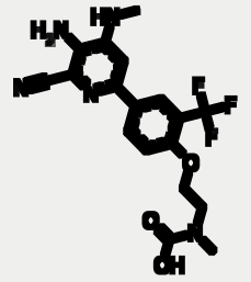 CNc1cc(-c2ccc(OCCN(C)C(=O)O)c(C(F)(F)F)c2)nc(C#N)c1N